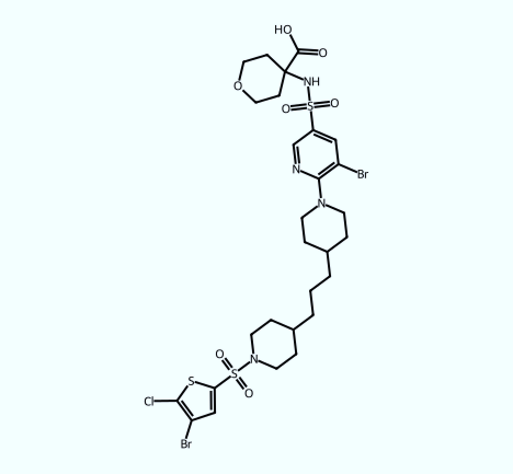 O=C(O)C1(NS(=O)(=O)c2cnc(N3CCC(CCCC4CCN(S(=O)(=O)c5cc(Br)c(Cl)s5)CC4)CC3)c(Br)c2)CCOCC1